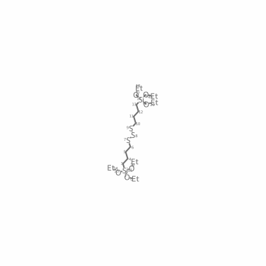 CCO[Si](CCCCSSSCCCC[Si](OCC)(OCC)OCC)(OCC)OCC